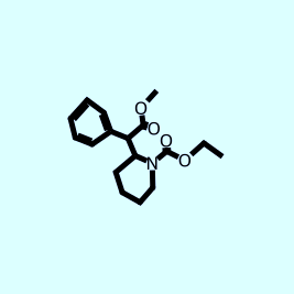 CCOC(=O)N1CCCCC1C(C(=O)OC)c1ccccc1